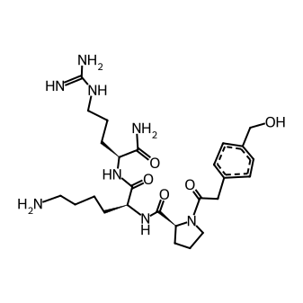 N=C(N)NCCC[C@H](NC(=O)[C@H](CCCCN)NC(=O)[C@@H]1CCCN1C(=O)Cc1ccc(CO)cc1)C(N)=O